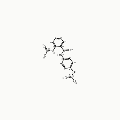 O=C(Nc1ccc(O[N+](=O)[O-])cc1)c1ccccc1O[N+](=O)[O-]